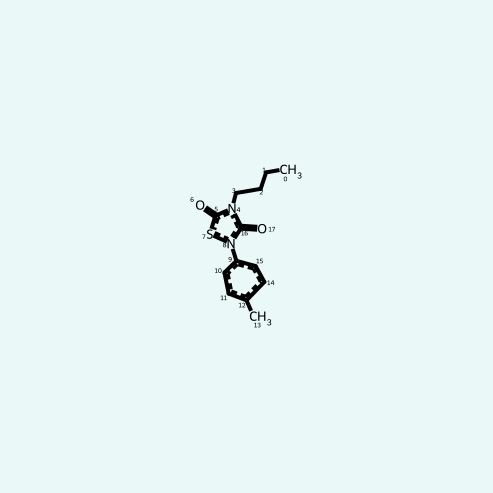 CCCCn1c(=O)sn(-c2ccc(C)cc2)c1=O